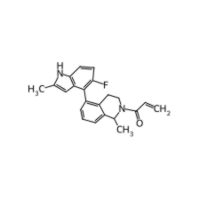 C=CC(=O)N1CCc2c(-c3c(F)ccc4[nH]c(C)cc34)cccc2C1C